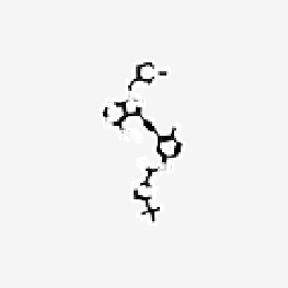 Cc1ccc(NC(=O)c2nc(C(C)(C)C)cs2)cc1C#Cc1nn(CC2CCN(C)C2)c2ncnc(N)c12